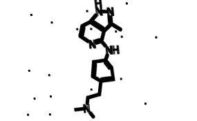 Cc1n[nH]c2ccnc(Nc3ccc(CCN(C)C)cc3)c12